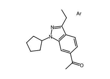 CCc1nn(C2CCCC2)c2cc(C(C)=O)ccc12.[Ar]